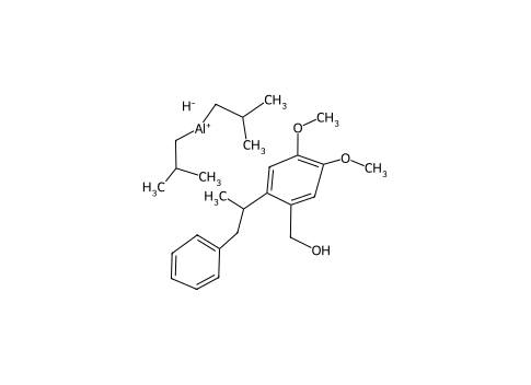 CC(C)[CH2][Al+][CH2]C(C)C.COc1cc(CO)c(C(C)Cc2ccccc2)cc1OC.[H-]